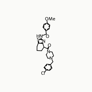 COc1ccc(C(=O)Nc2nc3c(s2)CCCC3C(=O)N2CCN(Cc3ccc(Cl)cc3)CC2)cc1